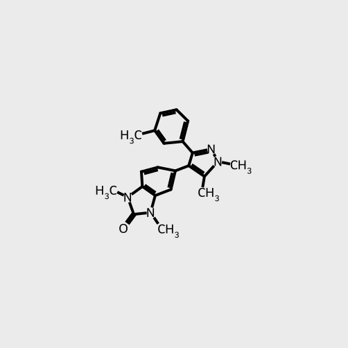 Cc1cccc(-c2nn(C)c(C)c2-c2ccc3c(c2)n(C)c(=O)n3C)c1